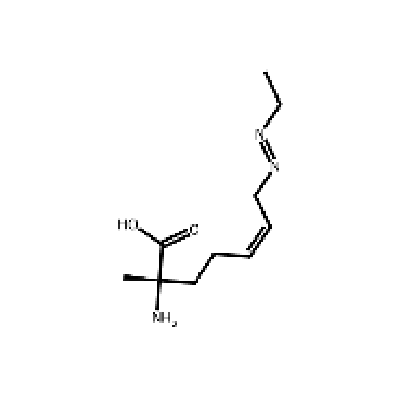 CCN=NC/C=C\CC[C@](C)(N)C(=O)O